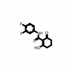 O=C1CCCC(O)=C1C(=S)Nc1ccc(F)c(F)c1